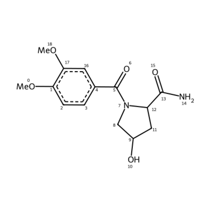 COc1ccc(C(=O)N2CC(O)CC2C(N)=O)cc1OC